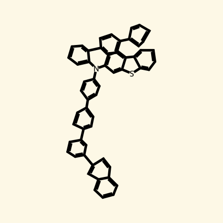 c1ccc(-c2ccc(-c3ccccc3N(c3ccc(-c4ccc(-c5cccc(-c6ccc7ccccc7c6)c5)cc4)cc3)c3ccc4c(c3)sc3ccccc34)cc2)cc1